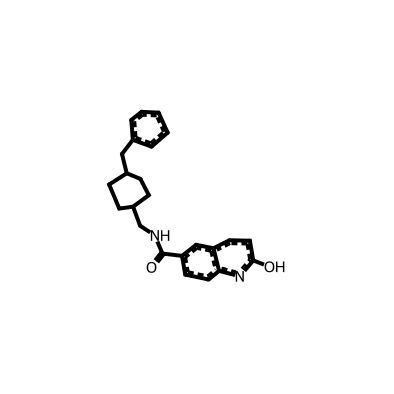 O=C(NCC1CCC(Cc2ccccc2)CC1)c1ccc2nc(O)ccc2c1